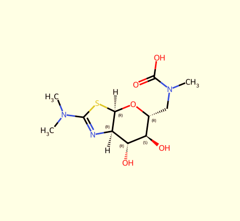 CN(C)C1=N[C@@H]2[C@@H](O)[C@H](O)[C@@H](CN(C)C(=O)O)O[C@@H]2S1